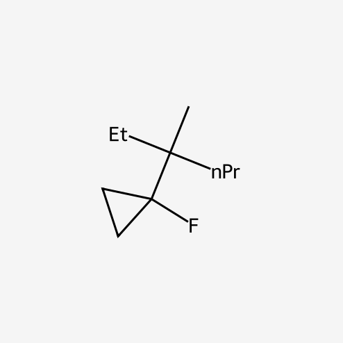 CCCC(C)(CC)C1(F)CC1